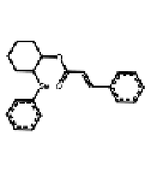 O=C(C=Cc1ccccc1)OC1CCCCC1[Se]c1ccccc1